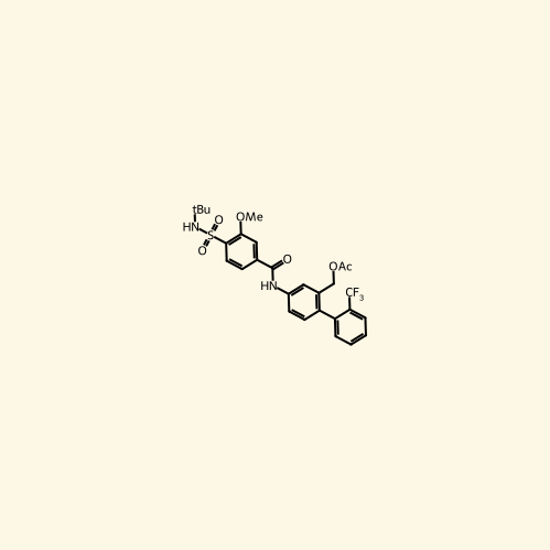 COc1cc(C(=O)Nc2ccc(-c3ccccc3C(F)(F)F)c(COC(C)=O)c2)ccc1S(=O)(=O)NC(C)(C)C